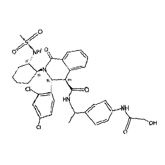 CC(NC(=O)[C@@H]1c2ccccc2C(=O)N([C@H]2CCCC[C@@H]2NS(C)(=O)=O)[C@H]1c1ccc(Cl)cc1Cl)c1ccc(NC(=O)CO)cc1